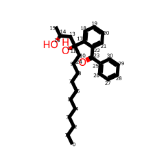 CCCCCCCCCCCC(O)(CC(C)O)c1ccccc1C(=O)c1ccccc1